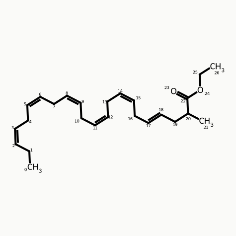 CC/C=C\C/C=C\C/C=C\C/C=C\C/C=C\C/C=C/CC(C)C(=O)OCC